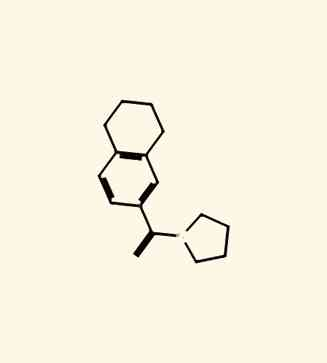 C=C(c1ccc2c(c1)CCCC2)N1CCCC1